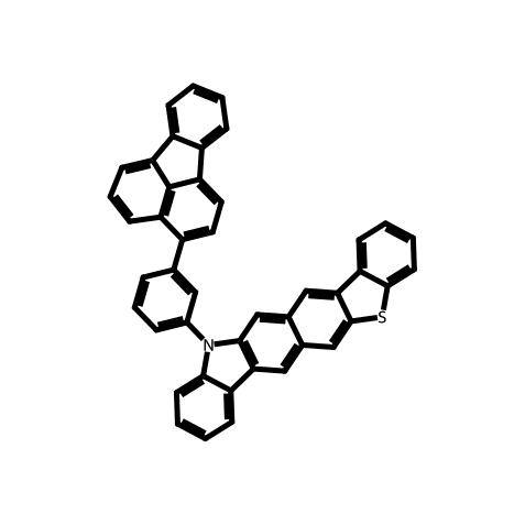 c1cc(-c2ccc3c4c(cccc24)-c2ccccc2-3)cc(-n2c3ccccc3c3cc4cc5sc6ccccc6c5cc4cc32)c1